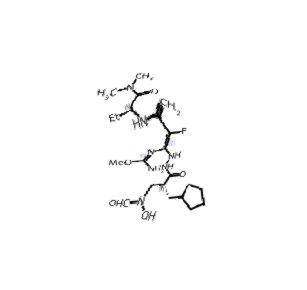 C=C(N[C@@H](CC)C(=O)N(C)C)/C(F)=C(\N=C(/N)OC)NNC(=O)[C@H](CC1CCCC1)CN(O)C=O